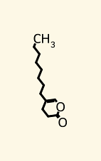 CCCCCCCCC1=COC(=O)CC1